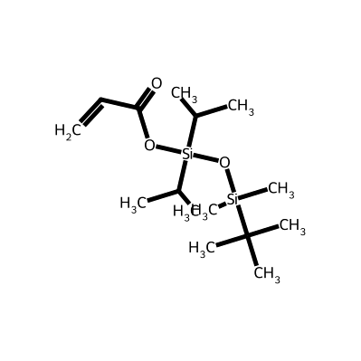 C=CC(=O)O[Si](O[Si](C)(C)C(C)(C)C)(C(C)C)C(C)C